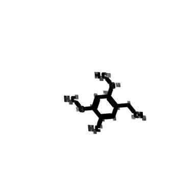 CCc1cc(C)c(OC)cc1OC